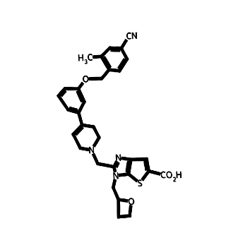 Cc1cc(C#N)ccc1COc1cccc(C2=CCN(Cc3nc4cc(C(=O)O)sc4n3CC3CCO3)CC2)c1